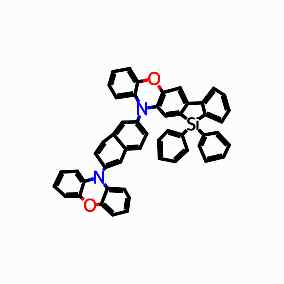 c1ccc([Si]2(c3ccccc3)c3ccccc3-c3cc4c(cc32)N(c2ccc3cc(N5c6ccccc6Oc6ccccc65)ccc3c2)c2ccccc2O4)cc1